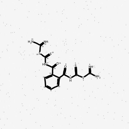 N=C(N)SC(=S)NC(=O)c1ccccc1C(=O)NC(=S)SC(=N)N